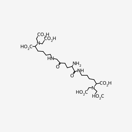 NC(CCC(=O)CNCCCCC(C(=O)O)N(CC(=O)O)CC(=O)O)C(=O)NCCCCC(C(=O)O)N(CC(=O)O)CC(=O)O